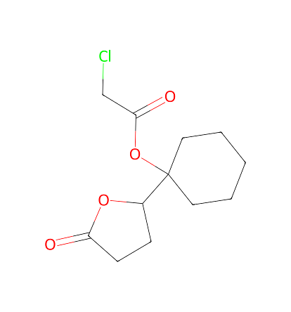 O=C1CCC(C2(OC(=O)CCl)CCCCC2)O1